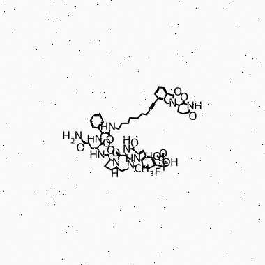 CN1CC[C@H]2CC[C@@H](C(=O)NC(CCC(N)=O)C(=O)NC(C(=O)NCCCCCCCC#Cc3cccc4c3CN(C3CCC(=O)NC3=O)C4=O)c3ccccc3)N2C(=O)[C@@H](NC(=O)c2cc3cc(C(F)(F)P(=O)(O)O)ccc3[nH]2)C1